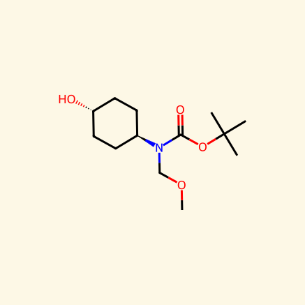 COCN(C(=O)OC(C)(C)C)[C@H]1CC[C@H](O)CC1